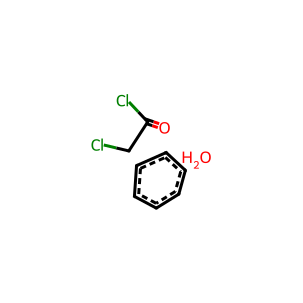 O.O=C(Cl)CCl.c1ccccc1